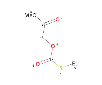 CCSC(=O)OCC(=O)OC